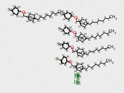 CCCCCCCCC12CCC(COc3ccc([S])cc3)(CC1)CC2.CCCCCCCCC12CCC(COc3ccc([S])cc3)(CC1)CC2.CCCCCCCCC12CCC(COc3ccc([S])cc3)(CC1)CC2.CCCCCCCCC12CCC(COc3ccc([S])cc3)(CC1)CC2.CCCCCCCCC12CCC(COc3ccc([S])cc3)(CC1)CC2.F.F.F.F.F